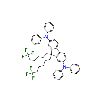 FC(F)(F)CCCCCC1(CCCCCC(F)(F)F)c2cc(N(c3ccccc3)c3ccccc3)ccc2-c2ccc(N(c3ccccc3)c3ccccc3)cc21